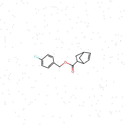 O=C(OCc1ccc(F)cc1)C1CC2C=CC1C2